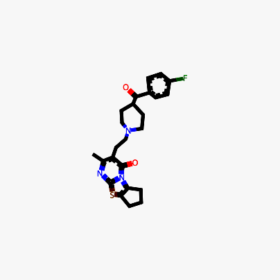 Cc1nc2sc3c(n2c(=O)c1CCN1CCC(C(=O)c2ccc(F)cc2)CC1)CCC3